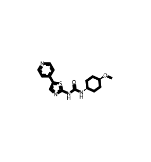 CO[C@H]1CC[C@H](NC(=O)Nc2ncc(-c3ccncc3)s2)CC1